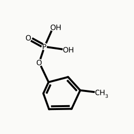 Cc1cccc(OP(=O)(O)O)c1